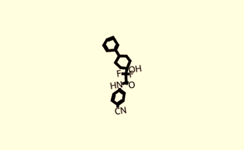 N#Cc1ccc(NC(=O)C(F)(F)C2(O)CCC(c3ccccc3)CC2)cc1